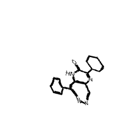 O=c1[nH]c2c(-c3ccccc3)nncc2nc1C1CCCCC1